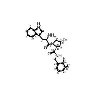 NC(Cc1c[nH]c2ccccc12)C(=O)N1C[C@H](F)C[C@H]1C(=O)NCc1cccc(Cl)c1F